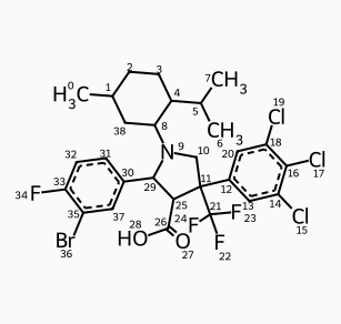 CC1CCC(C(C)C)C(N2CC(c3cc(Cl)c(Cl)c(Cl)c3)(C(F)(F)F)C(C(=O)O)C2c2ccc(F)c(Br)c2)C1